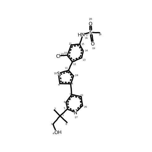 CC(C)(CO)c1cc(-c2csc(-c3ccc(NS(C)(=O)=O)cc3Cl)c2)ccn1